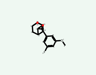 COc1cc(F)cc(C2C3CC4CC5CC(C4)C532)c1